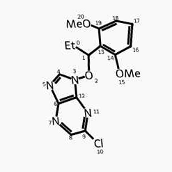 CCC(On1cnc2ncc(Cl)nc21)c1c(OC)cccc1OC